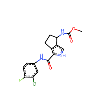 COC(=O)NC1CCc2c1c[nH]c2C(=O)Nc1ccc(F)c(Cl)c1